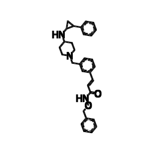 O=C(C=Cc1cccc(CN2CCC(NC3CC3c3ccccc3)CC2)c1)NOCc1ccccc1